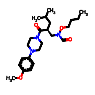 CCCCON(C=O)C[C@H](CC(C)C)C(=O)N1CCN(c2ccc(OC)cc2)CC1